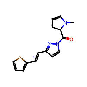 CN1C=CCC1C(=O)n1ccc(/C=C/c2cccs2)n1